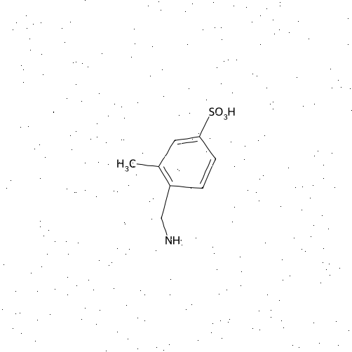 Cc1cc(S(=O)(=O)O)ccc1C[NH]